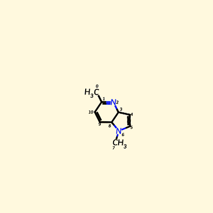 CC1=NC2C=CN(C)C2C=C1